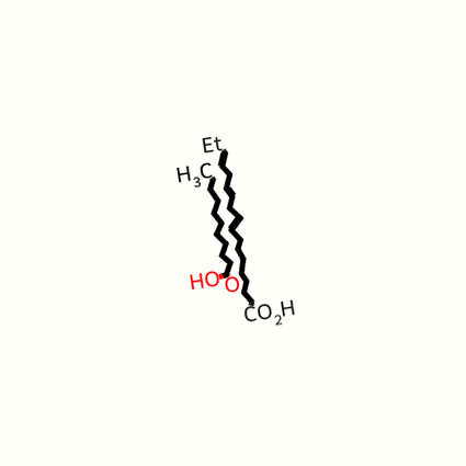 CCC=CCC=CCC=CCCCCCCCC(=O)O.CCCCCCCCCCC(=O)O